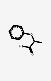 CC(Oc1ccccc1)C(=O)S